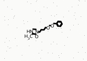 C[C@H]1NCCN(CCCCOCOCc2ccccc2)C1=O